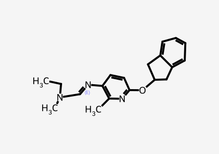 CCN(C)/C=N/c1ccc(OC2Cc3ccccc3C2)nc1C